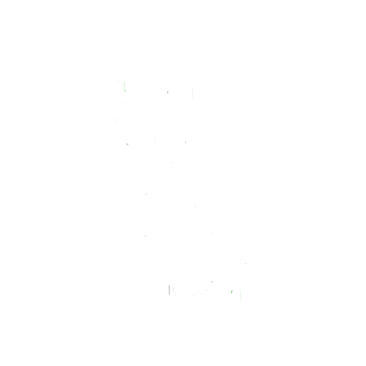 O=S(=O)(O)c1cc(/C=C/c2ccccc2-c2ccccc2/C=C/c2ccc(Cl)c(S(=O)(=O)O)c2)ccc1Cl